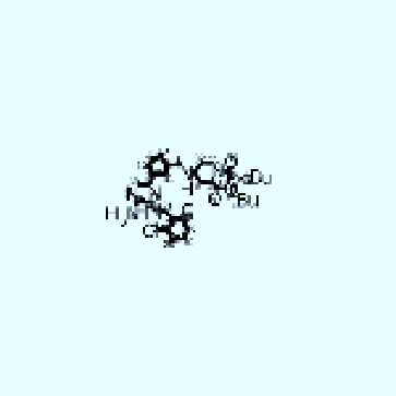 CC(C)(C)OC(=O)C1CC(NCc2cccc(-c3cnc(N)c(NCc4c(Cl)cccc4Cl)n3)c2)CCN1C(=O)OC(C)(C)C